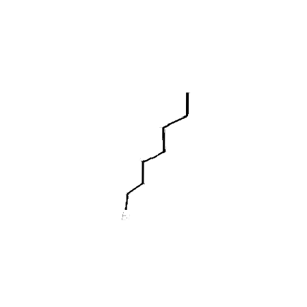 [CH2]CCCCCCBr